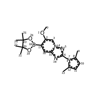 COc1cn2nc(-n3c(C)ccc3C)nc2cc1B1OC(C)(C)C(C)(C)O1